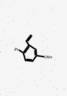 C=Cc1cc(OC)ccc1C(C)C